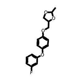 CC1OCC(COc2ccc(Oc3cccc(F)c3)cc2)O1